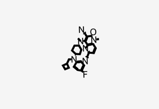 Cn1c(=O)c(C#N)c(N(C)[C@H]2CC[C@@H](N(CC3CCC3)c3ccc(F)cc3)CC2)c2nc(C#N)ccc21